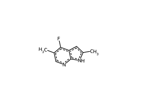 Cc1cc2c(F)c(C)cnc2[nH]1